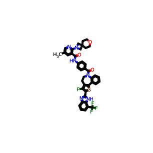 Cc1cnc(N2CC3(CCOCC3)C2)c(C(=O)Nc2ccc(C(=O)N3CCc4c(sc(-c5nc6cccc(C(F)(F)F)c6[nH]5)c4F)-c4ccccc43)cc2)c1